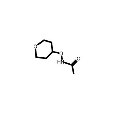 CC(=O)NOC1CCOCC1